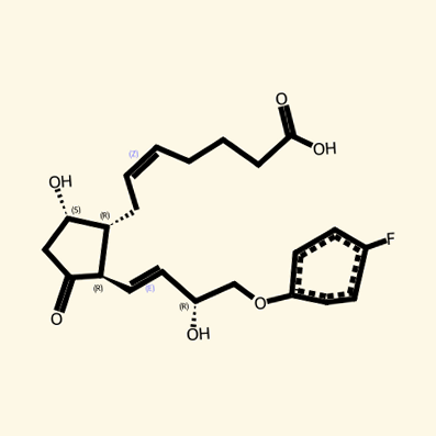 O=C(O)CCC/C=C\C[C@H]1[C@@H](O)CC(=O)[C@@H]1/C=C/[C@@H](O)COc1ccc(F)cc1